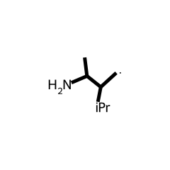 [CH2]C(C(C)C)C(C)N